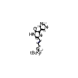 CC(C)(C)[Si](C)(C)OC/C=C/c1c[nH]c(=O)c(-c2cncnc2)n1